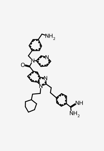 N=C(N)c1ccc(CCc2nc3cc(C(=O)N(Cc4ccc(CN)cc4)c4cccnc4)ccc3n2CCC2CCCCC2)cc1